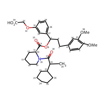 COc1ccc(CCC(OC(=O)[C@@H]2CCCCN2C(=O)C(C)C2CCCCC2)c2cccc(OCC(=O)O)c2)cc1OC